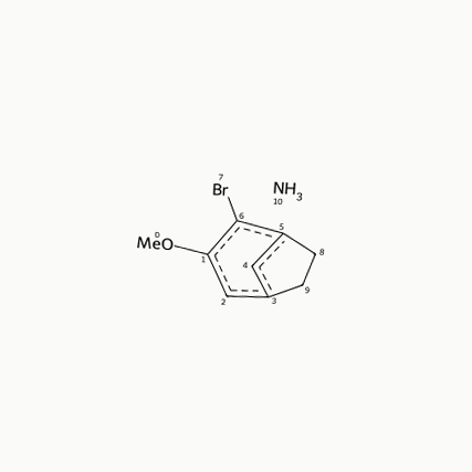 COc1cc2cc(c1Br)CC2.N